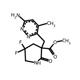 COC(=O)C1(Cc2nnc(N)cc2C)CC(F)(F)CNC1=O